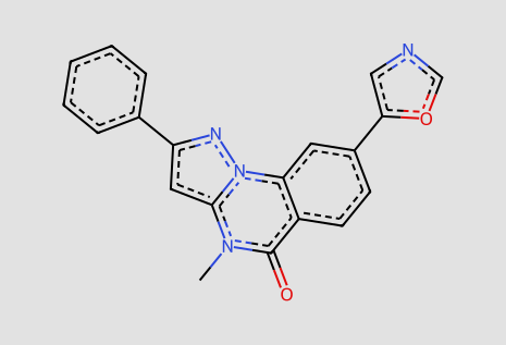 Cn1c(=O)c2ccc(-c3cnco3)cc2n2nc(-c3ccccc3)cc12